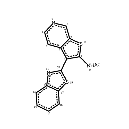 CC(=O)Nc1sc2cnccc2c1-c1nc2ccccc2s1